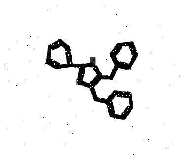 c1ccc(Cc2nc(-c3ccccc3)[nH]c2Cc2ccccc2)cc1